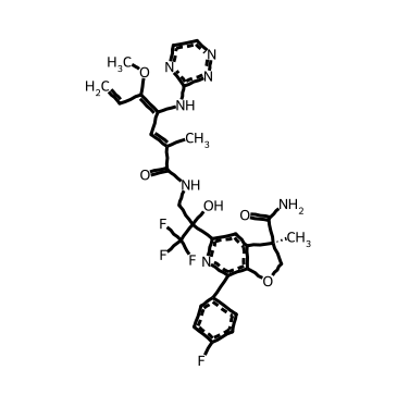 C=C/C(OC)=C(\C=C(/C)C(=O)NCC(O)(c1cc2c(c(-c3ccc(F)cc3)n1)OC[C@]2(C)C(N)=O)C(F)(F)F)Nc1nccnn1